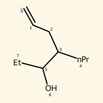 [CH]=CCC(CCC)C(O)CC